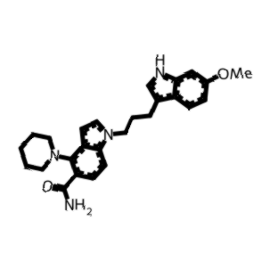 COc1ccc2c(CCCn3ccc4c(N5CCCCC5)c(C(N)=O)ccc43)c[nH]c2c1